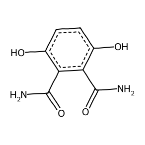 NC(=O)c1c(O)ccc(O)c1C(N)=O